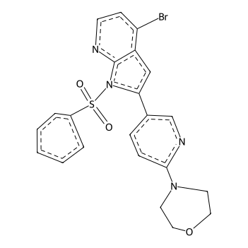 O=S(=O)(c1ccccc1)n1c(-c2ccc(N3CCOCC3)nc2)cc2c(Br)ccnc21